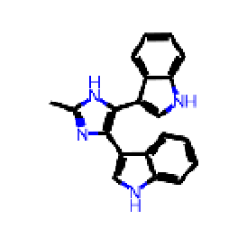 Cc1nc(-c2c[nH]c3ccccc23)c(-c2c[nH]c3ccccc23)[nH]1